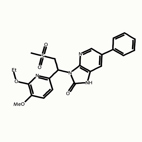 CCOc1nc(C(CS(C)(=O)=O)n2c(=O)[nH]c3cc(-c4ccccc4)cnc32)ccc1OC